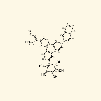 C=C/C=C(\C=N)c1cccc(-c2cnc(-c3c(O)c(O)c(O)c(O)c3O)nc2-c2ccc(-c3ccc4ccccc4c3)cc2)c1